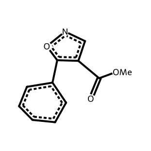 COC(=O)c1cnoc1-c1ccccc1